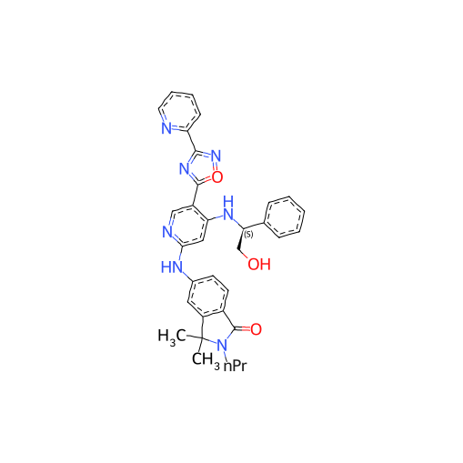 CCCN1C(=O)c2ccc(Nc3cc(N[C@H](CO)c4ccccc4)c(-c4nc(-c5ccccn5)no4)cn3)cc2C1(C)C